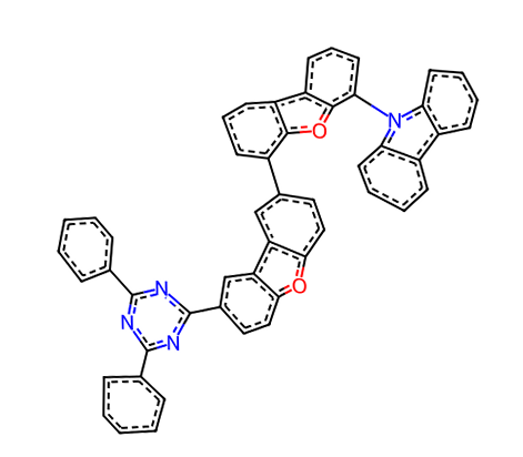 c1ccc(-c2nc(-c3ccccc3)nc(-c3ccc4oc5ccc(-c6cccc7c6oc6c(-n8c9ccccc9c9ccccc98)cccc67)cc5c4c3)n2)cc1